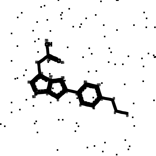 CCCc1ccc(-c2cc3scc(CC(=O)O)n3c2)cc1